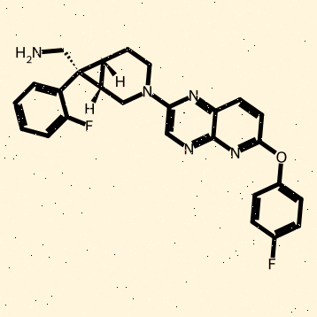 NC[C@]1(c2ccccc2F)[C@@H]2CCN(c3cnc4nc(Oc5ccc(F)cc5)ccc4n3)C[C@@H]21